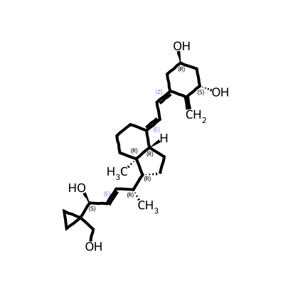 C=C1/C(=C\C=C2/CCC[C@]3(C)[C@@H]([C@H](C)/C=C/[C@H](O)C4(CO)CC4)CC[C@@H]23)C[C@@H](O)C[C@@H]1O